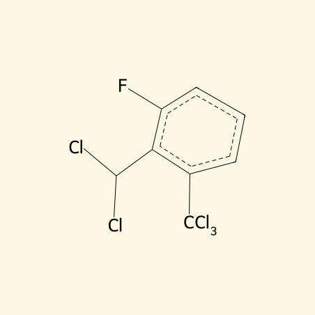 Fc1cccc(C(Cl)(Cl)Cl)c1C(Cl)Cl